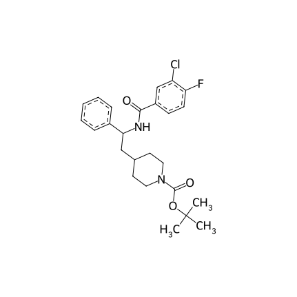 CC(C)(C)OC(=O)N1CCC(CC(NC(=O)c2ccc(F)c(Cl)c2)c2ccccc2)CC1